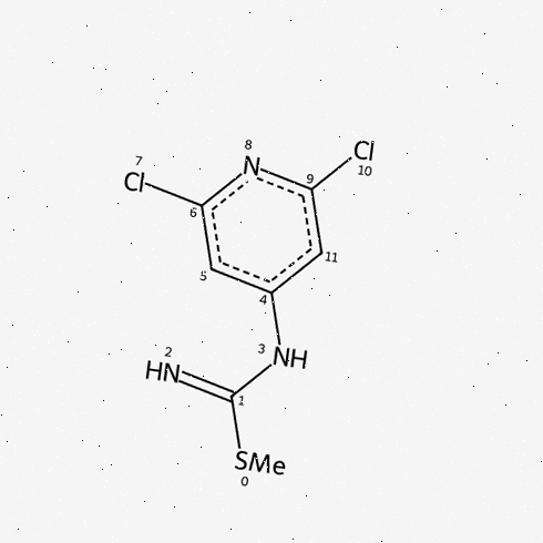 CSC(=N)Nc1cc(Cl)nc(Cl)c1